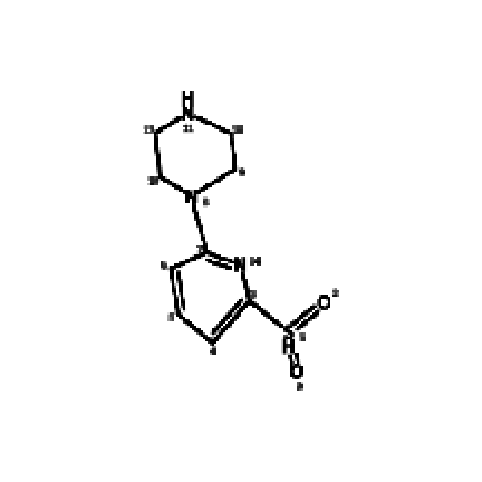 O=[SH](=O)c1cccc(N2CCNCC2)n1